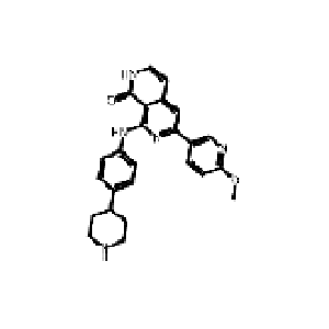 COc1ccc(-c2cc3cc[nH]c(=O)c3c(Nc3ccc(C4CCNCC4)cc3)n2)cn1